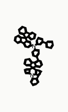 c1ccc(-c2cccc(N(c3ccc(-c4cccc5c4-c4ccccc4C54c5ccccc5-n5c6ccccc6c6cccc4c65)cc3)c3ccc4c(c3)C3(c5ccccc5-c5ccccc53)c3ccccc3-4)c2)cc1